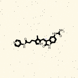 Cc1c(CCC(=O)Nc2ccncc2)c[nH]c1/C=C1\C(=O)Nc2ccc(NC(N)=O)cc21